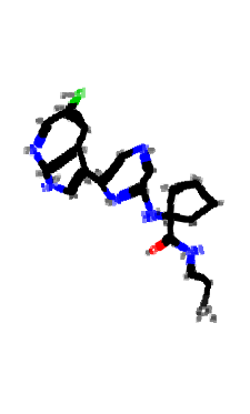 O=C(NCCC(F)(F)F)C1(Nc2cncc(-c3c[nH]c4ncc(Cl)cc34)n2)CCCC1